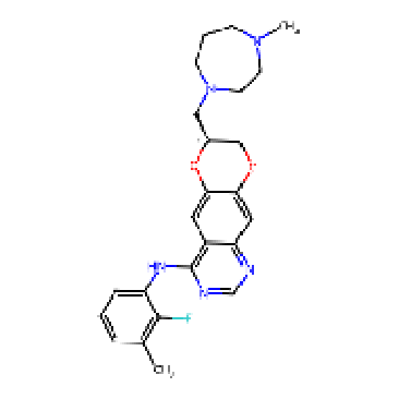 Cc1cccc(Nc2ncnc3cc4c(cc23)O[C@@H](CN2CCCN(C)CC2)CO4)c1F